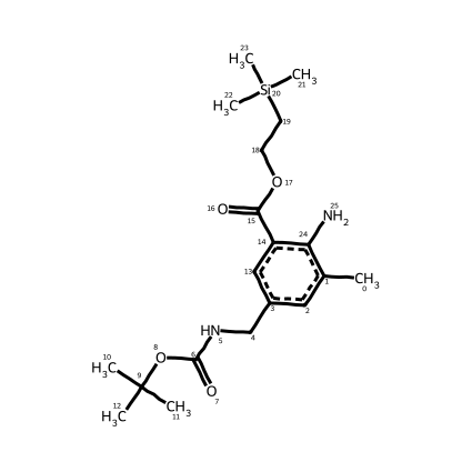 Cc1cc(CNC(=O)OC(C)(C)C)cc(C(=O)OCC[Si](C)(C)C)c1N